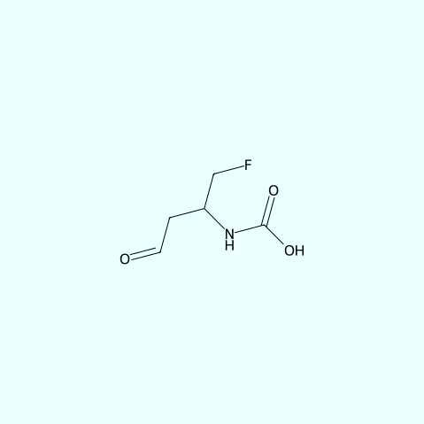 O=CCC(CF)NC(=O)O